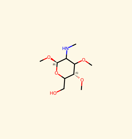 CNC1C(OC)[C@H](OC)C(CO)O[C@H]1OC